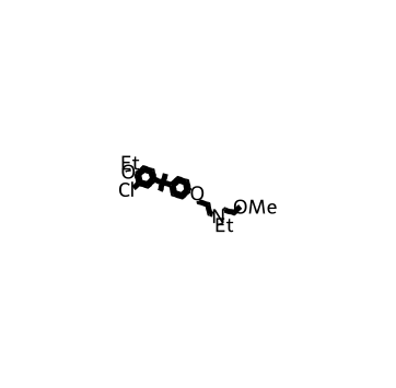 CCOc1ccc(C(C)(C)c2ccc(OCCCN(CC)CCOC)cc2)cc1Cl